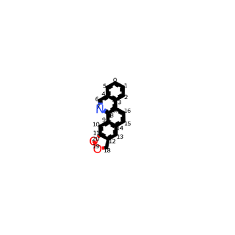 c1ccc2c(c1)cnc1c3cc4c(cc3ccc21)COO4